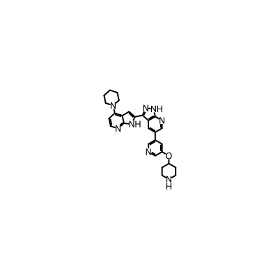 c1cc(N2CCCCC2)c2cc(-c3n[nH]c4ncc(-c5cncc(OC6CCNCC6)c5)cc34)[nH]c2n1